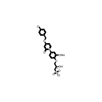 CCS(=O)(=O)C[C@H](O)COc1ccc(-n2ccc(OCc3ccc(Cl)cc3)cc2=O)cc1OC